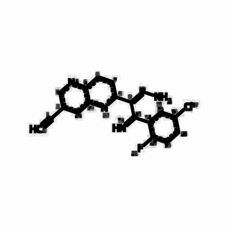 C#Cc1cnc2ccc(/C(=C/N)C(=N)c3cc(Cl)ccc3F)nc2c1